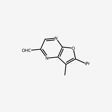 Cc1c(C(C)C)oc2ncc(C=O)nc12